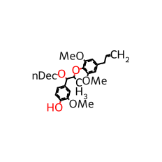 C=CCc1cc(OC)c(OC(C)C(OCCCCCCCCCC)c2ccc(O)c(OC)c2)c(OC)c1